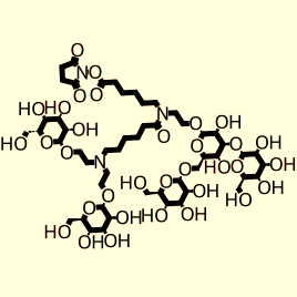 O=C(CCCCCN(CCO[C@H]1O[C@H](CO[C@H]2O[C@H](CO)[C@@H](O)[C@H](O)[C@@H]2O)[C@@H](O)[C@H](O[C@H]2O[C@H](CO)[C@@H](O)[C@H](O)[C@@H]2O)[C@@H]1O)C(=O)CCCCCN(CCO[C@H]1O[C@H](CO)[C@@H](O)[C@H](O)[C@@H]1O)CCO[C@H]1O[C@H](CO)[C@@H](O)[C@H](O)[C@@H]1O)ON1C(=O)CCC1=O